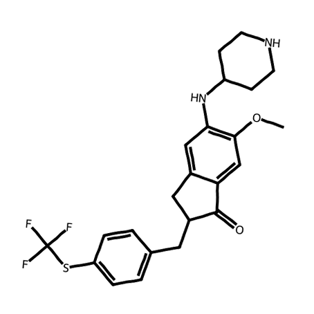 COc1cc2c(cc1NC1CCNCC1)CC(Cc1ccc(SC(F)(F)F)cc1)C2=O